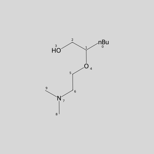 CCCCC(CO)OCCN(C)C